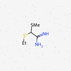 CCSC(SC)C(=N)N